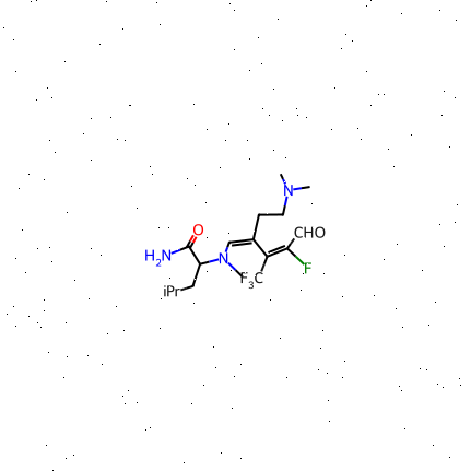 CC(C)CC(C(N)=O)N(C)/C=C(CCN(C)C)\C(=C(\F)C=O)C(F)(F)F